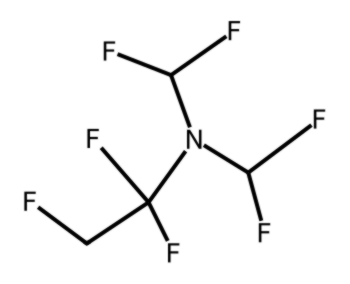 FCC(F)(F)N(C(F)F)C(F)F